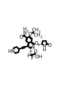 CC(C)Oc1cc2c(OC[C@@H]3CCC(=O)N3)ncc(C#CC3CCNCC3)c2cc1C(N)=O.O=C(O)C(F)(F)F